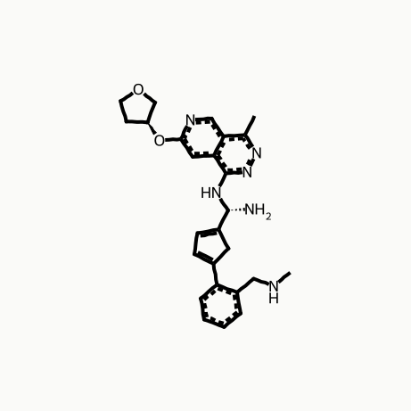 CNCc1ccccc1C1=CC=C([C@@H](N)Nc2nnc(C)c3cnc(O[C@H]4CCOC4)cc23)C1